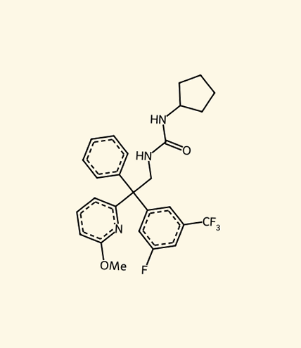 COc1cccc(C(CNC(=O)NC2CCCC2)(c2ccccc2)c2cc(F)cc(C(F)(F)F)c2)n1